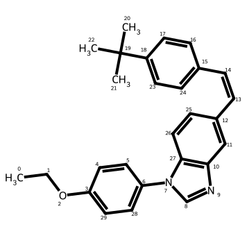 CCOc1ccc(-n2cnc3cc(/C=C\c4ccc(C(C)(C)C)cc4)ccc32)cc1